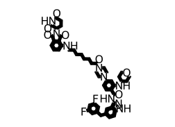 O=C1CCC(N2C(=O)c3cccc(NCCCCCCCC(=O)N4CCN(c5ccc(C(=O)Nc6n[nH]c7ccc(Cc8cc(F)cc(F)c8)cc67)c(NC6CCOCC6)c5)CC4)c3C2=O)C(=O)N1